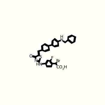 O=C1N=C(Nc2ccc(C(Br)C(=O)O)c(F)c2)S/C1=C\c1ccc(-c2ccc(NCc3ccccc3)cc2)cc1